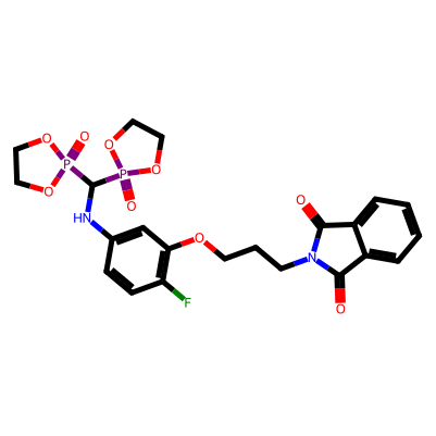 O=C1c2ccccc2C(=O)N1CCCOc1cc(NC(P2(=O)OCCO2)P2(=O)OCCO2)ccc1F